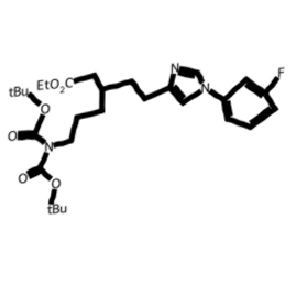 CCOC(=O)CC(CCCN(C(=O)OC(C)(C)C)C(=O)OC(C)(C)C)CCc1cn(-c2cccc(F)c2)cn1